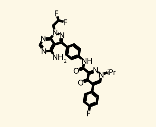 CC(C)n1cc(-c2ccc(F)cc2)c(=O)c(C(=O)Nc2ccc(-c3nn(CC(F)F)c4ncnc(N)c34)cc2)n1